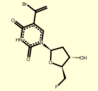 C=C(Br)c1cn([C@H]2C[C@H](O)[C@@H](CF)O2)c(=O)[nH]c1=O